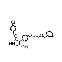 OC1CNCC(OCc2ccc(Cl)cc2)C1c1ccc(OCCCOCc2ccccc2)cc1